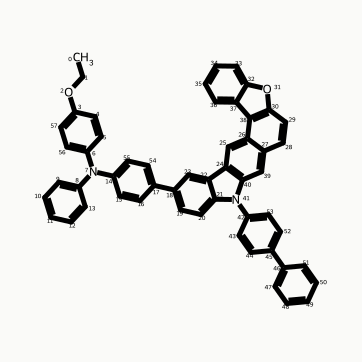 CCOc1ccc(N(c2ccccc2)c2ccc(-c3ccc4c(c3)c3cc5c(ccc6oc7ccccc7c65)cc3n4-c3ccc(-c4ccccc4)cc3)cc2)cc1